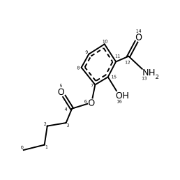 CCCCC(=O)Oc1cccc(C(N)=O)c1O